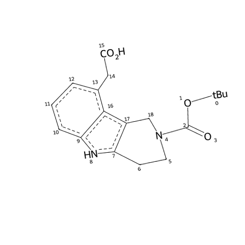 CC(C)(C)OC(=O)N1CCc2[nH]c3cccc(CC(=O)O)c3c2C1